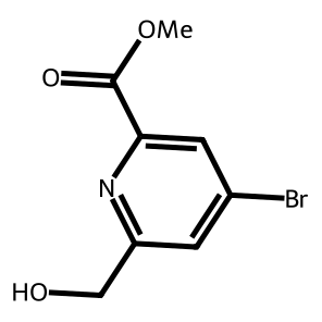 COC(=O)c1cc(Br)cc(CO)n1